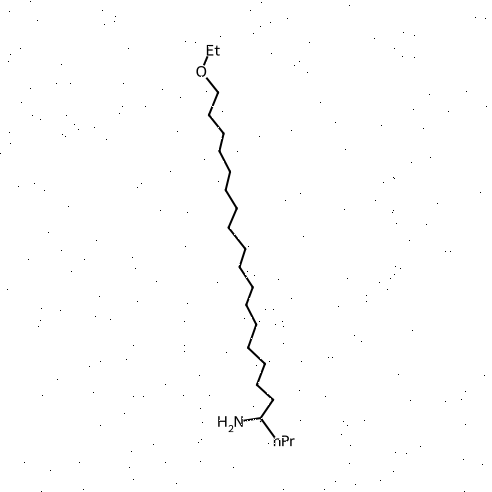 CCC[C](N)CCCCCCCCCCCCCCCCCOCC